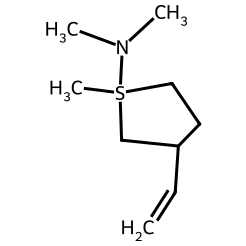 C=CC1CCS(C)(N(C)C)C1